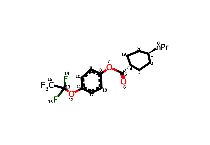 CCC[C@H]1CC[C@H](C(=O)Oc2ccc(OC(F)(F)C(F)(F)F)cc2)CC1